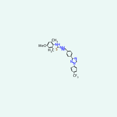 COc1cc(C)c(NC(=S)N/N=C/c2ccc(-c3ncn(-c4ccc(C(F)(F)F)cc4)n3)cc2)c(C)c1